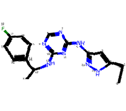 CCc1cc(Nc2ncnc(NC(C)c3ccc(F)cc3)n2)n[nH]1